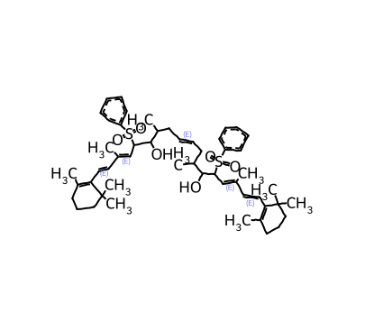 CC1=C(/C=C/C(C)=C/C(C(O)C(C)C/C=C/CC(C)C(O)C(/C=C(C)/C=C/C2=C(C)CCCC2(C)C)S(=O)(=O)c2ccccc2)S(=O)(=O)c2ccccc2)C(C)(C)CCC1